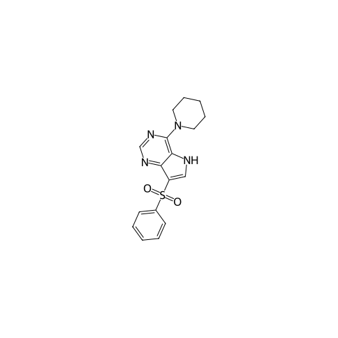 O=S(=O)(c1ccccc1)c1c[nH]c2c(N3CCCCC3)ncnc12